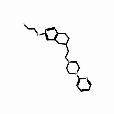 FCCOc1ccc2c(c1)CC(CCN1CCN(c3ccccn3)CC1)CC2